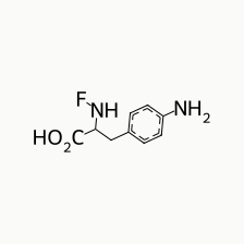 Nc1ccc(CC(NF)C(=O)O)cc1